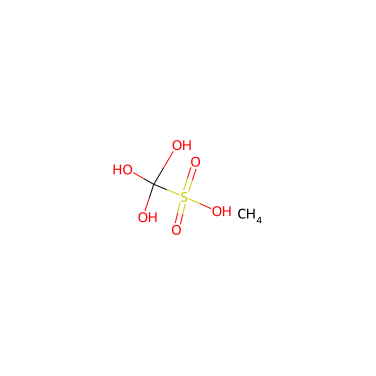 C.O=S(=O)(O)C(O)(O)O